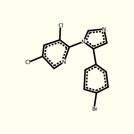 Clc1cnc(-n2cncc2-c2ccc(Br)cc2)c(Cl)c1